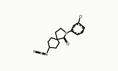 [N-]=[N+]=NC1CCC2(CC1)CCN(c1cccc(Cl)c1)C2=O